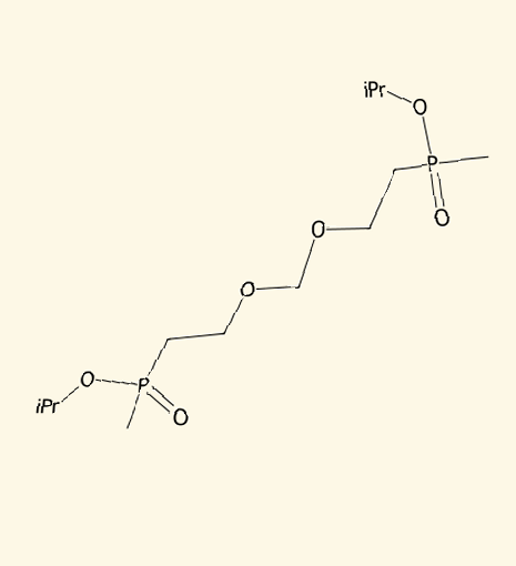 CC(C)OP(C)(=O)CCOCOCCP(C)(=O)OC(C)C